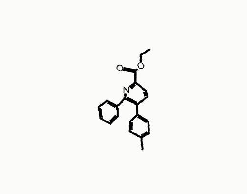 CCOC(=O)c1ccc(-c2ccc(C)cc2)c(-c2ccccc2)n1